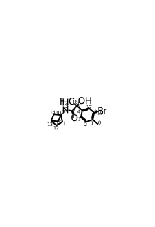 Cc1ccc(C(O)(C(=O)NC23CCC(C2)C3)C(F)(F)F)cc1Br